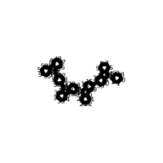 c1ccc(-n2c3ccccc3c3cc(-c4ccc5c(c4)c4ccccc4n5-c4ccc5c(c4)c4ccccc4n5-c4ccc(-n5c6ccccc6c6ccccc65)cc4)ccc32)cc1